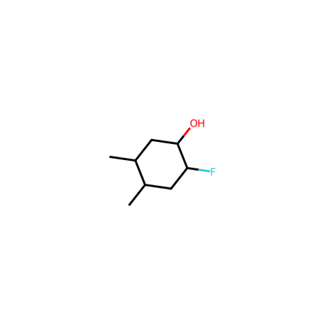 CC1CC(O)C(F)CC1C